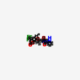 CCCc1cc2c(C(F)(F)F)cc(=O)oc2c(CCC)c1OCCCN1C(=O)CN(C2C=CCCN2)C1=O